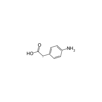 Nc1ccc([CH]C(=O)O)cc1